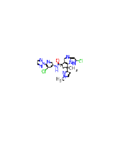 Cn1ccc([C@@]2(C)C[C@@H](C(=O)Nc3cnc(-n4nccn4)c(Cl)c3)c3cnc4cc(Cl)nn4c32)n1